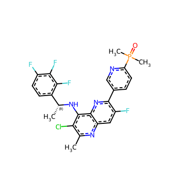 Cc1nc2cc(F)c(-c3ccc(P(C)(C)=O)nc3)nc2c(N[C@H](C)c2ccc(F)c(F)c2F)c1Cl